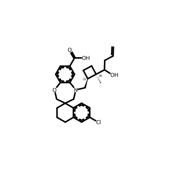 C=CCC(O)[C@]1(C)CC[C@@H]1CN1CC2(CCCc3cc(Cl)ccc32)COc2ccc(C(=O)O)cc21